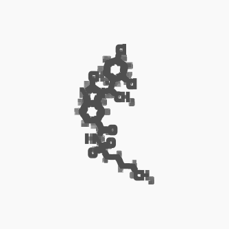 CCCCCS(=O)(=O)NC(=O)c1ccc2nc(C)n(C(C)c3ccc(Cl)cc3Cl)c2c1